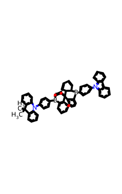 CC1(C)c2ccccc2N(c2ccc(B3c4ccccc4C4(c5ccccc5B(c5ccc(-n6c7ccccc7c7ccccc76)cc5)C5C=CC=CC54)C4C=CC=CC34)cc2)c2ccccc21